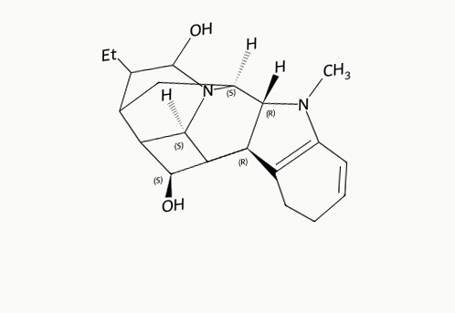 CCC1C2C[C@H]3[C@@H]4N(C)C5=C(CCC=C5)[C@]45C[C@@H](C2[C@@H]5O)N3C1O